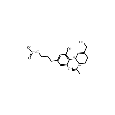 C=C(C)[C@H]1CCC(CO)=C[C@@H]1c1c(O)cc(CCCO[N+](=O)[O-])cc1O